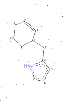 C1=CC(Cc2ccc[nH]2)CCC1